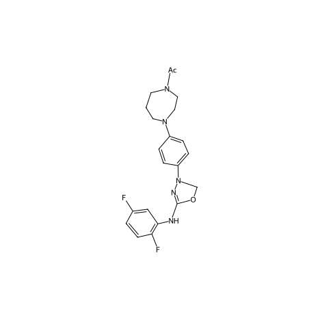 CC(=O)N1CCCN(c2ccc(N3COC(Nc4cc(F)ccc4F)=N3)cc2)CC1